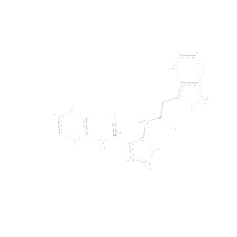 O=C(Cc1c[nH]c2ccccc12)Nc1c[nH]nc1C(=O)Nc1ccccc1